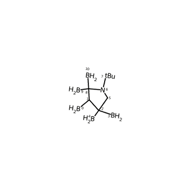 BC1C(B)(B)CN(C(C)(C)C)C1(B)B